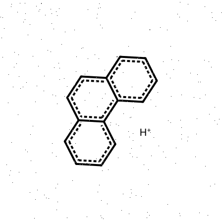 [H+].[c]1cccc2c1ccc1ccccc12